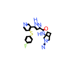 N#CN1CC2CC[C@]2(NC(=O)c2cc(-c3cnccc3Sc3ccc(F)cc3)[nH]n2)C1